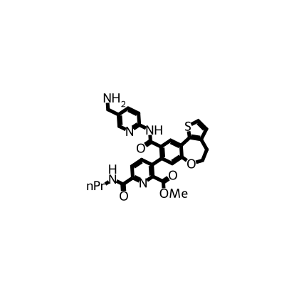 CCCNC(=O)c1ccc(-c2cc3c(cc2C(=O)Nc2ccc(CN)cn2)-c2sccc2CCO3)c(C(=O)OC)n1